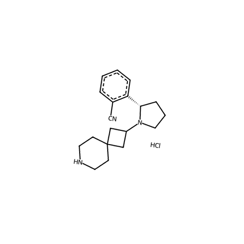 Cl.N#Cc1ccccc1[C@@H]1CCCN1C1CC2(CCNCC2)C1